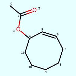 CC(=O)OC1C=CCCCCC1